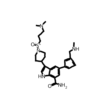 CNCc1cccc(-c2cc(C(N)=O)c3[nH]cc(C4CCN([S+]([O-])CCCN(C)C)CC4)c3c2)c1